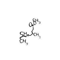 CCC(C)=CCCC(C)=CCC(=O)OC